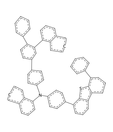 c1ccc(-c2ccc(-c3ccc(N(c4ccc(-c5cccc6c5sc5c(-c7ccccc7)cccc56)cc4)c4cccc5ccccc45)cc3)cc2-c2cccc3ccccc23)cc1